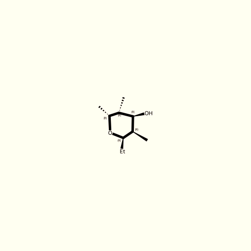 CC[C@H]1O[C@H](C)[C@H](C)[C@@H](O)[C@H]1C